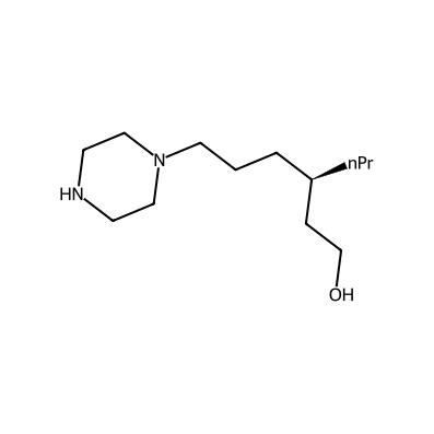 CCC[C@@H](CCO)CCCN1CCNCC1